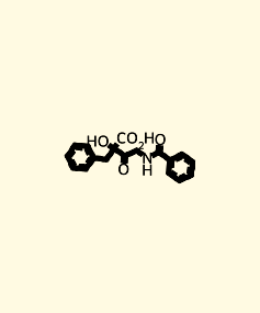 O=C(NCC(=O)C(O)(Cc1ccccc1)C(=O)O)c1ccccc1